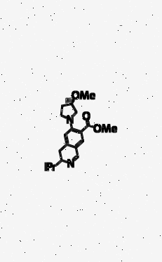 COC(=O)c1cc2c(cc1N1CC[C@@H](OC)C1)CC(C(C)C)N=C2